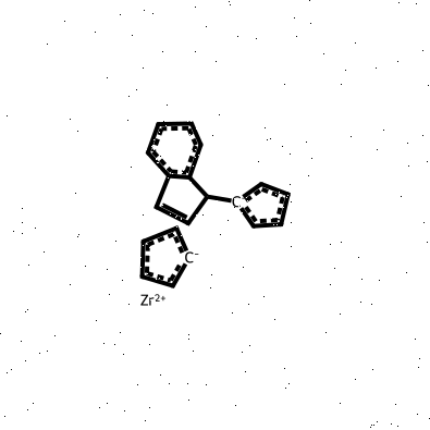 C1=CC([c-]2cccc2)c2ccccc21.[Zr+2].c1cc[cH-]c1